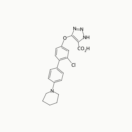 O=C(O)c1[nH]nnc1Oc1ccc(-c2ccc(N3CCCCC3)cc2)c(Cl)c1